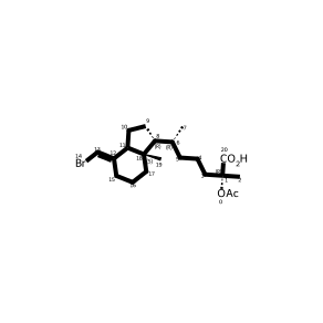 CC(=O)O[C@](C)(CCC[C@@H](C)[C@H]1CCC2C(=CBr)CCC[C@]21C)C(=O)O